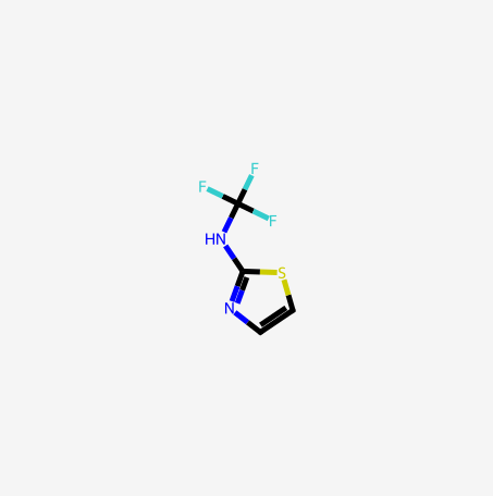 FC(F)(F)Nc1nccs1